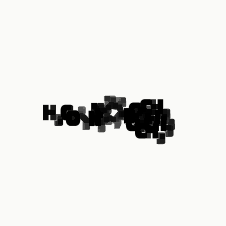 COCCn1cc2cc(B3OC(C)(C)C(C)(C)O3)ccc2n1